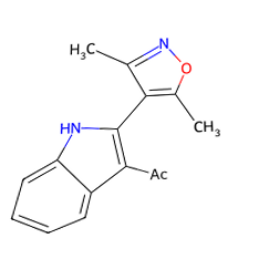 CC(=O)c1c(-c2c(C)noc2C)[nH]c2ccccc12